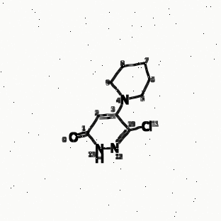 O=c1cc(N2CCCCC2)c(Cl)n[nH]1